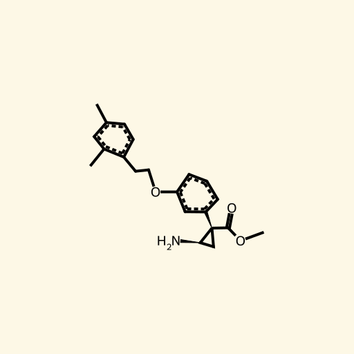 COC(=O)[C@]1(c2cccc(OCCc3ccc(C)cc3C)c2)C[C@H]1N